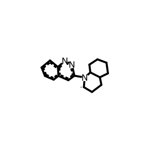 [CH]1CCC2CCCCC2N1c1cc2ccccc2nn1